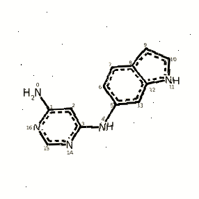 Nc1cc(Nc2ccc3cc[nH]c3c2)ncn1